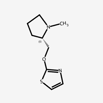 CN1CCC[C@H]1COc1nccs1